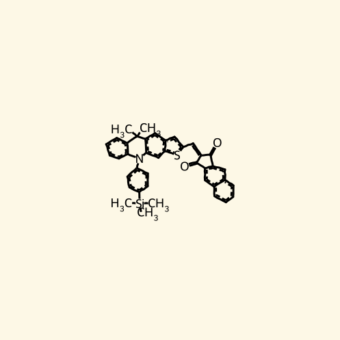 CC1(C)c2ccccc2N(c2ccc([Si](C)(C)C)cc2)c2cc3sc(C=C4C(=O)c5cc6ccccc6cc5C4=O)cc3cc21